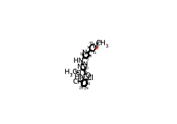 COc1nc(Nc2ccc(C3CCN(C)CC3)nc2)ncc1C(=O)Nc1c(Cl)cccc1Cl